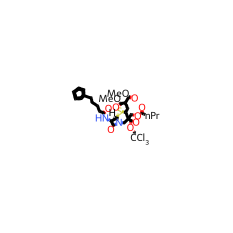 CCCC(=O)OCC1(C(=O)OCC(Cl)(Cl)Cl)CN2C(=O)C(NC(=O)CCCCc3ccccc3)[C@H]2SC1CC(C(=O)OC)C(=O)OC